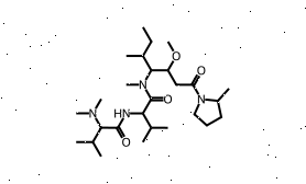 CCC(C)C(C(CC(=O)N1CCCC1C)OC)N(C)C(=O)C(NC(=O)C(C(C)C)N(C)C)C(C)C